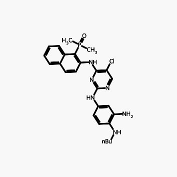 CCCCNc1ccc(Nc2ncc(Cl)c(Nc3ccc4ccccc4c3P(C)(C)=O)n2)cc1N